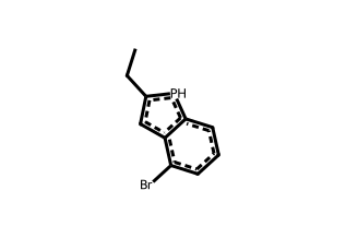 CCc1cc2c(Br)cccc2[pH]1